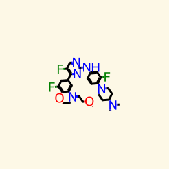 COCCN1CCOc2c(F)cc(-c3nc(Nc4ccc(N5CCC(N(C)C)CC5)c(F)c4)ncc3F)cc21